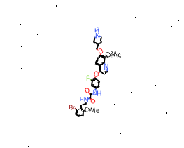 COc1cccc(Br)c1CCNC(=O)C(=O)Nc1ccc(Oc2ccnc3c(OC)c(OCC4CCNCC4)ccc23)c(F)c1